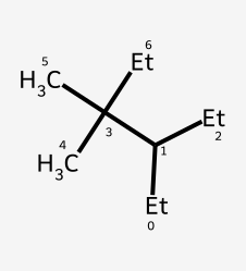 CCC(CC)C(C)(C)CC